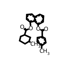 Cc1ccc(C(=O)Oc2cccc3cccc(OC(=O)C4CCCC(C)C4)c23)cc1